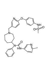 Cc1ccc(NC(=O)N(c2ccccc2)C2CCCN(Cc3ccc(Oc4ccc(NS(C)(=O)=O)cc4)nc3)CC2)cn1